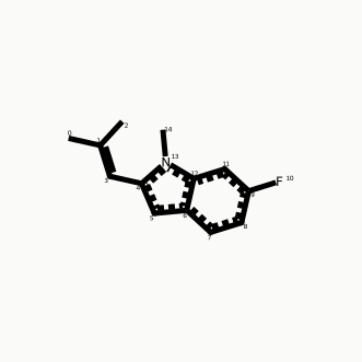 CC(C)=Cc1cc2ccc(F)cc2n1C